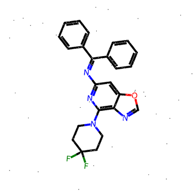 FC1(F)CCN(c2nc(N=C(c3ccccc3)c3ccccc3)cc3ocnc23)CC1